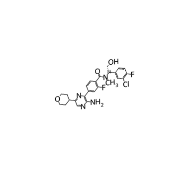 CN(C(=O)c1ccc(-c2nc(C3CCOCC3)cnc2N)cc1F)[C@H](CO)c1ccc(F)c(Cl)c1